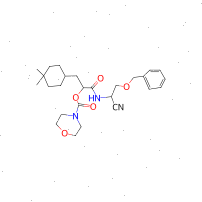 CC1(C)CCC(CC(OC(=O)N2CCOCC2)C(=O)NC(C#N)COCc2ccccc2)CC1